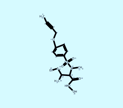 CC#CCOc1ccc(S(=O)(=O)N(C)C(C(=O)NO)C(C)SCC)cc1